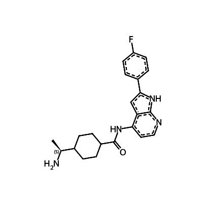 C[C@H](N)C1CCC(C(=O)Nc2ccnc3[nH]c(-c4ccc(F)cc4)cc23)CC1